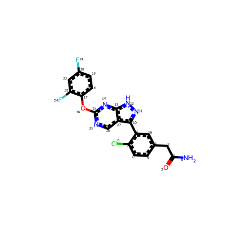 NC(=O)Cc1ccc(Cl)c(-c2n[nH]c3nc(Oc4ccc(F)cc4F)ncc23)c1